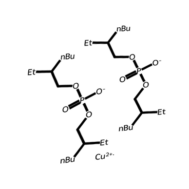 CCCCC(CC)COP(=O)([O-])OCC(CC)CCCC.CCCCC(CC)COP(=O)([O-])OCC(CC)CCCC.[Cu+2]